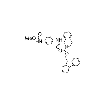 COC(=O)Nc1ccc(NC(=O)C2c3ccccc3CCN2C(=O)OCC2c3ccccc3-c3ccccc32)cc1